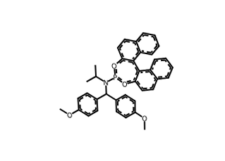 COc1ccc(C(c2ccc(OC)cc2)N(C(C)C)p2oc3ccc4ccccc4c3c3c(ccc4ccccc43)o2)cc1